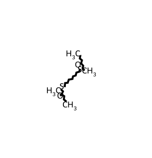 CCCCC(=O)CC(C)SCCCCCCCCCSC(C)CC(=O)CCCC